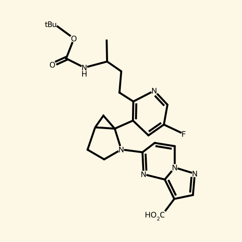 CC(CCc1ncc(F)cc1C12CC1CCN2c1ccn2ncc(C(=O)O)c2n1)NC(=O)OC(C)(C)C